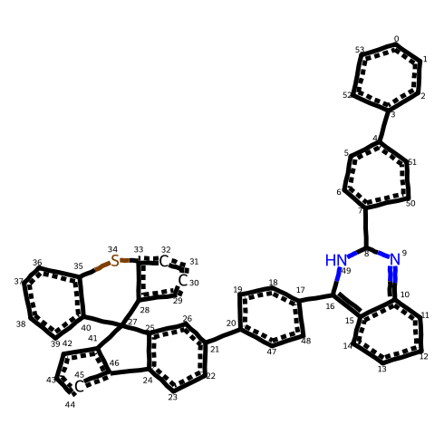 c1ccc(-c2ccc(C3N=c4ccccc4=C(c4ccc(-c5ccc6c(c5)C5(c7ccccc7Sc7ccccc75)c5ccccc5-6)cc4)N3)cc2)cc1